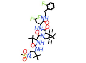 CN(C[C@@H](NC(=O)N[C@H](C(=O)N1C[C@H]2[C@@H]([C@H]1C(=O)N[C@@H](CC(F)F)C(=O)NCCc1ccccc1F)C2(C)C)C(C)(C)C)C(C)(C)C)S(C)(=O)=O